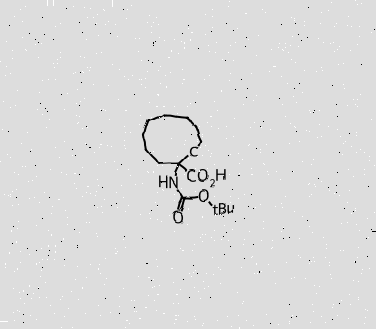 CC(C)(C)OC(=O)NC1(C(=O)O)CCCCCCCCC1